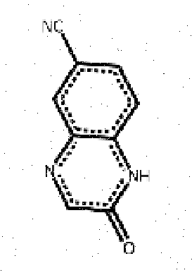 N#Cc1ccc2[nH]c(=O)cnc2c1